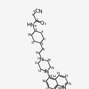 N#CCC(=O)NC1CCC(CCN2CCN(c3cccc4ncccc34)CC2)CC1